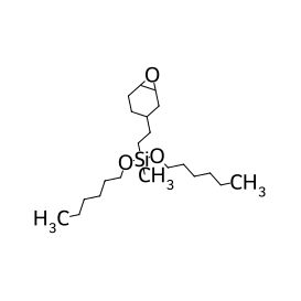 CCCCCCO[Si](C)(CCC1CCC2OC2C1)OCCCCCC